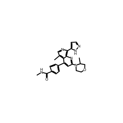 CNC(=O)c1ccc(-c2cc(N3CCOCC3C)nc3c(-c4ccn[nH]4)ncc(C)c23)cc1